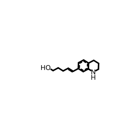 OCCC/C=C/c1ccc2c(c1)NCCC2